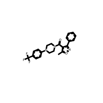 Cc1onc(-c2ccccc2)c1C(=O)N1CCN(c2ccc(C(F)(F)F)cc2)CC1